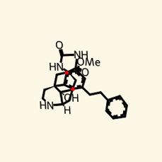 COc1cc(CCc2ccccc2)c2c(c1)[C@]13CCN[C@H](C2)[C@]1(O)CC[C@@]1(C3)NC(=O)NC1=O